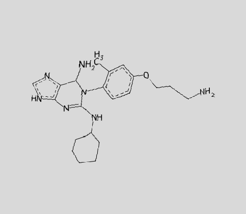 Cc1cc(OCCCN)ccc1N1C(NC2CCCCC2)=Nc2[nH]cnc2C1N